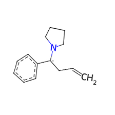 C=CC[C](c1ccccc1)N1CCCC1